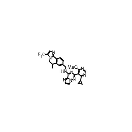 COc1ncnc(C2CC2)c1-c1nc(NCc2ccc3c(c2)C(C)Cn2c(C(F)(F)F)cnc2-3)c2nccn2n1